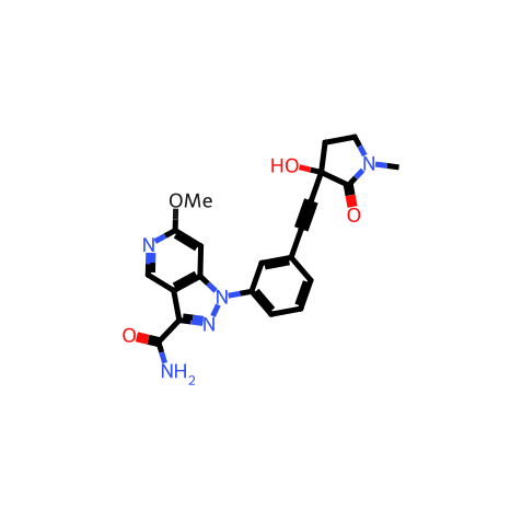 COc1cc2c(cn1)c(C(N)=O)nn2-c1cccc(C#CC2(O)CCN(C)C2=O)c1